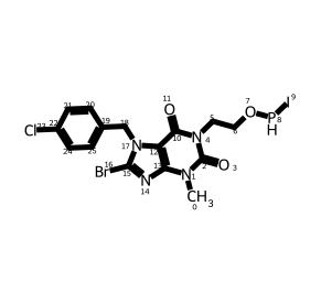 Cn1c(=O)n(CCOPI)c(=O)c2c1nc(Br)n2Cc1ccc(Cl)cc1